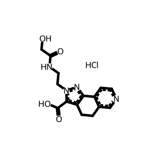 Cl.O=C(CO)NCCn1nc2c(c1C(=O)O)CCc1cnccc1-2